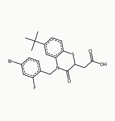 CC(C)(C)c1ccc2c(c1)N(Cc1ccc(Br)cc1F)C(=O)C(CC(=O)O)S2